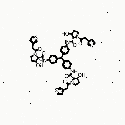 O=C(Nc1ccc(C(c2ccc(NC(=O)[C@H]3C(O)CCN3C(=O)Cc3ccsc3)cc2)c2ccc(NC(=O)[C@H]3C(O)CCN3C(=O)Cc3ccsc3)cc2)cc1)[C@H]1C(O)CCN1C(=O)Cc1ccsc1